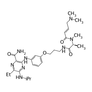 CCc1nc(C(N)=O)c(Nc2cccc(OCCCNC(=O)[C@H](C)N(C)C(=O)/C=C/CN(C)C)c2)nc1NC(C)C